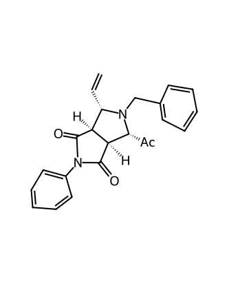 C=C[C@H]1[C@@H]2C(=O)N(c3ccccc3)C(=O)[C@@H]2[C@@H](C(C)=O)N1Cc1ccccc1